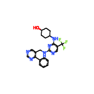 O[C@H]1CC[C@@H](Nc2nc(NCc3cncnc3-c3ccccc3)ncc2C(F)(F)F)CC1